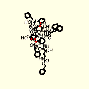 O=C(NCC[C@H](O)C(=O)N[C@@H]1C[C@H](NC(=O)OCc2ccccc2)[C@@H](O[C@H]2O[C@H](CN(CCO)C(=O)OCc3ccccc3)C=C[C@H]2NC(=O)OCc2ccccc2)[C@H](O[C@@H]2O[C@H](CO)[C@@H](O[C@H]3O[C@@H](CNC(=O)OCc4ccccc4)[C@@H](O)[C@H](O)[C@H]3NC(=O)OCc3ccccc3)[C@H]2O)[C@H]1O)OCc1ccccc1